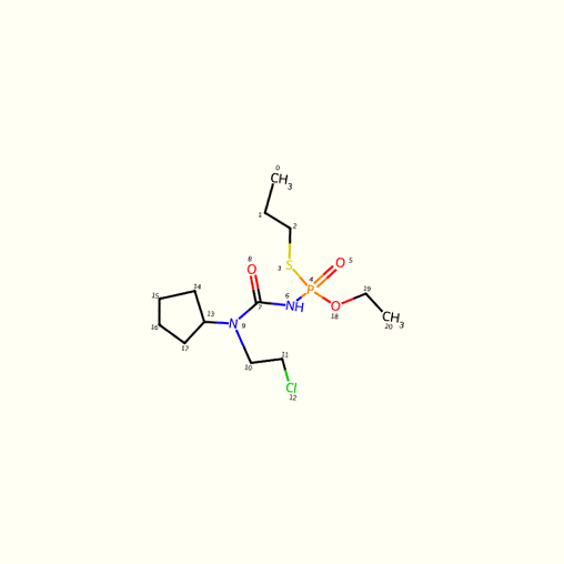 CCCSP(=O)(NC(=O)N(CCCl)C1CCCC1)OCC